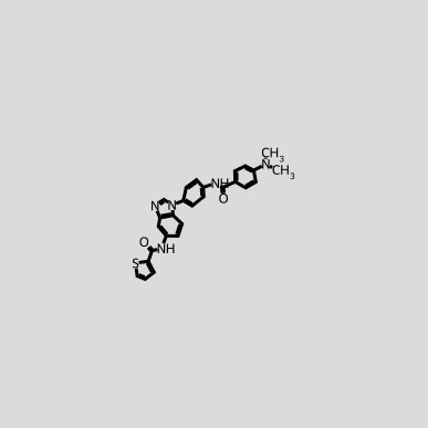 CN(C)c1ccc(C(=O)Nc2ccc(-n3cnc4cc(NC(=O)c5cccs5)ccc43)cc2)cc1